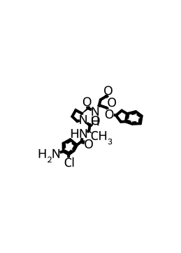 C[C@H](NC(=O)c1ccc(N)c(Cl)c1)C(=O)N1CCC[C@H]1C(=O)NC1CC(=O)OC1OC1Cc2ccccc2C1